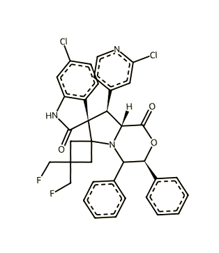 O=C1O[C@@H](c2ccccc2)C(c2ccccc2)N2[C@@H]1[C@H](c1ccnc(Cl)c1)[C@@]1(C(=O)Nc3cc(Cl)ccc31)C21CC(CF)(CF)C1